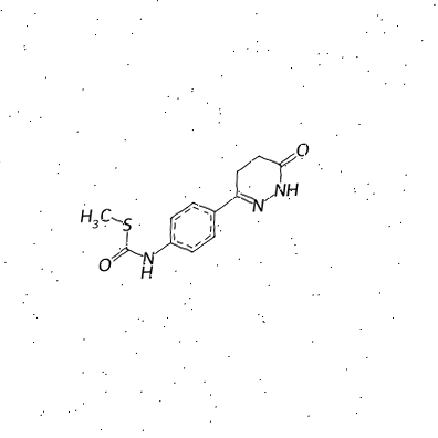 CSC(=O)Nc1ccc(C2=NNC(=O)CC2)cc1